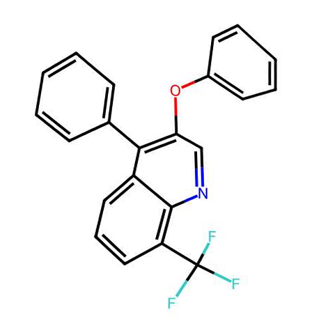 FC(F)(F)c1cccc2c(-c3ccccc3)c(Oc3ccccc3)cnc12